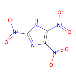 O=[N+]([O-])c1nc([N+](=O)[O-])c([N+](=O)[O-])[nH]1